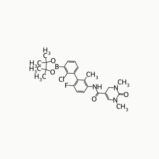 Cc1c(NC(=O)C2=CN(C)C(=O)N(C)C2)ccc(F)c1-c1cccc(B2OC(C)(C)C(C)(C)O2)c1Cl